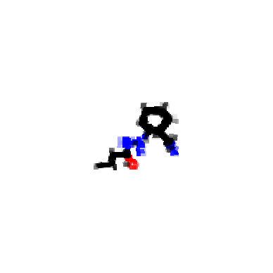 CC=CC(=O)NNc1ccccc1C#N